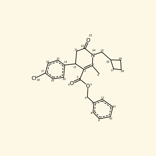 CC1=C(C(=O)OCc2ccccc2)C(c2ccc(Cl)cc2)CC(=O)N1CC1CCC1